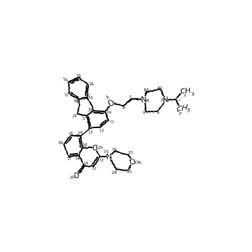 CC(C)N1CCN(CCOc2ccc(-c3cccc4c(=O)cc(N5CCOCC5)oc34)c3c2-c2ccccc2C3)CC1